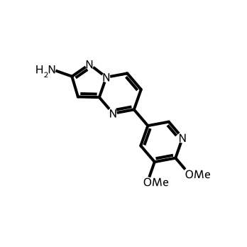 COc1cc(-c2ccn3nc(N)cc3n2)cnc1OC